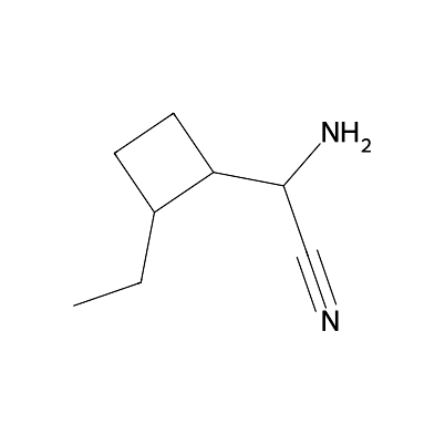 CCC1CCC1C(N)C#N